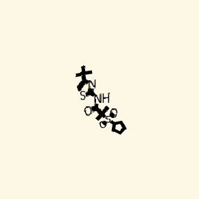 CC(C)(C)c1csc(NC(=O)C(C)(C)S(=O)(=O)C2CCCC2)n1